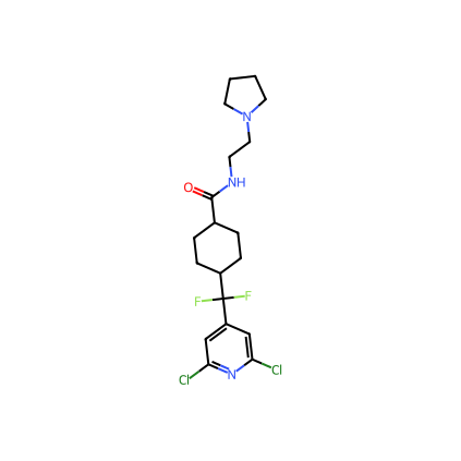 O=C(NCCN1CCCC1)C1CCC(C(F)(F)c2cc(Cl)nc(Cl)c2)CC1